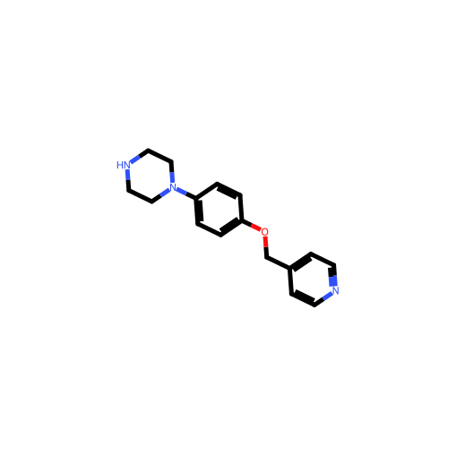 c1cc(COc2ccc(N3CCNCC3)cc2)ccn1